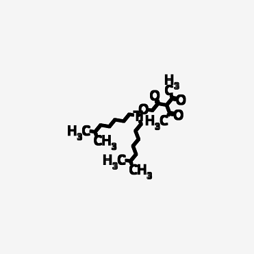 CC(=O)C(C(C)=O)C(=O)C[O][Ti]([CH2]CCCCC(C)C)[CH2]CCCCC(C)C